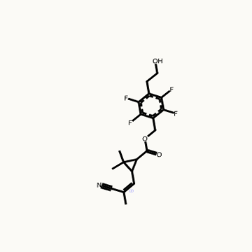 C/C(C#N)=C/C1C(C(=O)OCc2c(F)c(F)c(CCO)c(F)c2F)C1(C)C